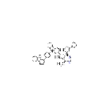 C=C1/C=C\C=C/N(C2C=C(C3C=CC=CC3)C=CC2)C2CC(C3CC4C(CN3)C3CCCCC3N4c3ccc(-c4cccc5c6c(oc45)C=CCC6)cc3)NC=C12